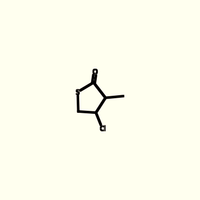 CC1C(=O)SCC1Cl